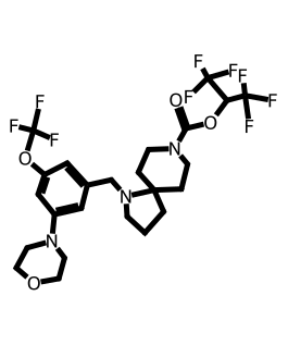 O=C(OC(C(F)(F)F)C(F)(F)F)N1CCC2(CCCN2Cc2cc(OC(F)(F)F)cc(N3CCOCC3)c2)CC1